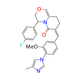 COc1cc(C=C2CCC3=COCC(c4ccc(F)cc4)N3C2=O)ccc1-n1cnc(C)c1